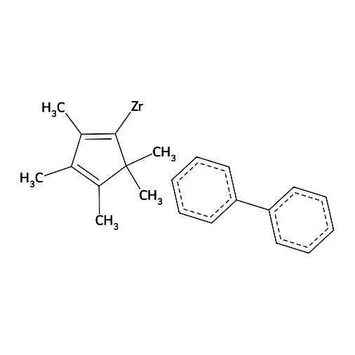 CC1=C(C)C(C)(C)[C]([Zr])=C1C.c1ccc(-c2ccccc2)cc1